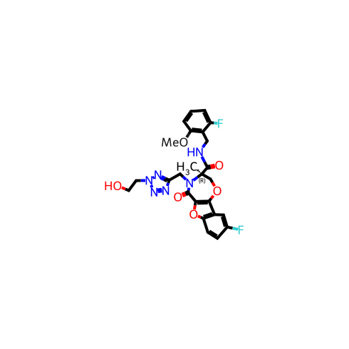 COc1cccc(F)c1CNC(=O)[C@@]1(C)COc2c(oc3ccc(F)cc23)C(=O)N1Cc1nnn(CCO)n1